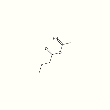 CCCC(=O)OC(C)=N